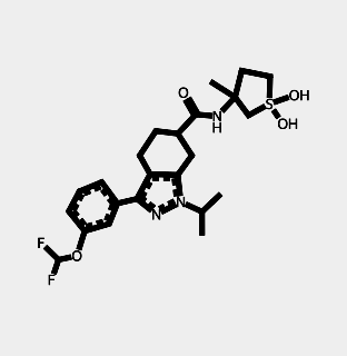 CC(C)n1nc(-c2cccc(OC(F)F)c2)c2c1CC(C(=O)NC1(C)CCS(O)(O)C1)CC2